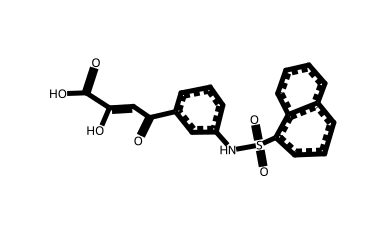 O=C(O)/C(O)=C/C(=O)c1cccc(NS(=O)(=O)c2cccc3ccccc23)c1